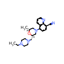 CCN1CCN(C[C@H]2CN(c3ccc(C#N)c4ncccc34)C[C@@H](C)O2)CC1